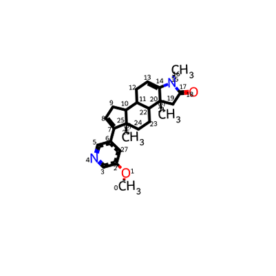 COc1cncc(C2=CCC3C4CC=C5N(C)C(=O)C[C@]5(C)C4CC[C@]23C)c1